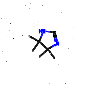 CC1(C)N=CNC1(C)C